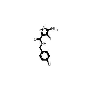 Nc1nsc(C(=O)NCc2ccc(Cl)cc2)c1I